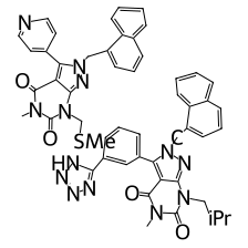 CC(C)Cn1c(=O)n(C)c(=O)c2c(-c3cccc(-c4nnn[nH]4)c3)n(Cc3cccc4ccccc34)nc21.CSCn1c(=O)n(C)c(=O)c2c(-c3ccncc3)n(Cc3cccc4ccccc34)nc21